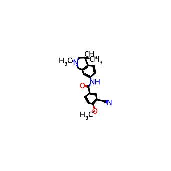 COc1ccc(C(=O)Nc2ccc3c(c2)CN(C)CC3(C)C)cc1C#N